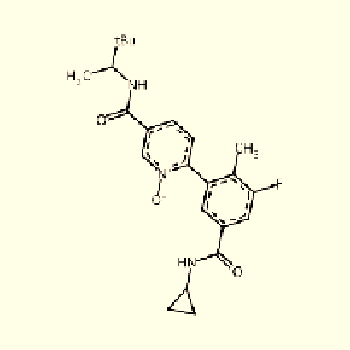 Cc1c(F)cc(C(=O)NC2CC2)cc1-c1ccc(C(=O)NC(C)C(C)(C)C)c[n+]1[O-]